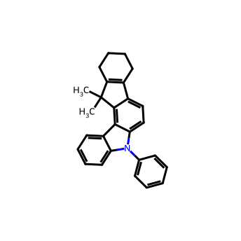 CC1(C)C2=C(CCCC2)c2ccc3c(c21)c1ccccc1n3-c1ccccc1